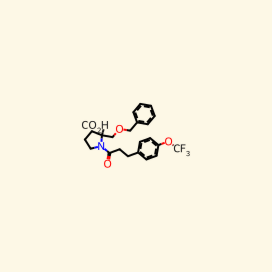 O=C(CCc1ccc(OC(F)(F)F)cc1)N1CCCC1(COCc1ccccc1)C(=O)O